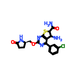 NC(=O)C1Sc2nc(OC[C@@H]3CCC(=O)N3)nc(-c3cccc(Cl)c3)c2C1N